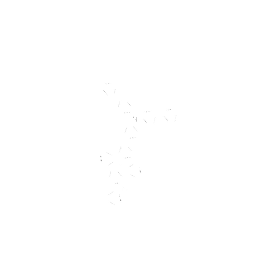 c1ccc(-c2ccc(N(c3ccc(-c4ccccc4)cc3)c3ccc(-c4ccc5c(c4)-c4ccccc4C54c5ccccc5-c5c4ccc4c5oc5ccccc54)cc3)cc2)cc1